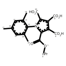 CCCOC(=O)c1c(C(=O)O)c(C(=O)O)c(C(=O)O)n1-c1c(C)cc(C)cc1C